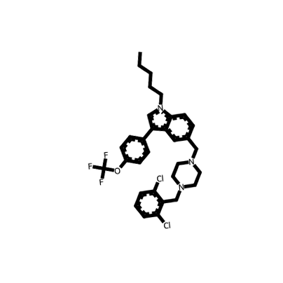 CCCCCn1cc(-c2ccc(OC(F)(F)F)cc2)c2cc(CN3CCN(Cc4c(Cl)cccc4Cl)CC3)ccc21